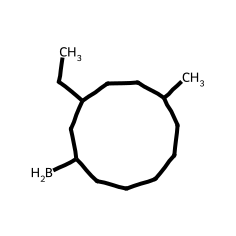 BC1CCCCCC(C)CCC(CC)C1